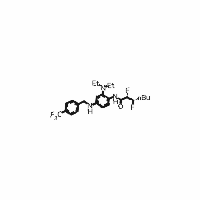 CCCC[C@H](F)[C@@H](F)C(=O)Nc1ccc(NCc2ccc(C(F)(F)F)cc2)cc1N(CC)CC